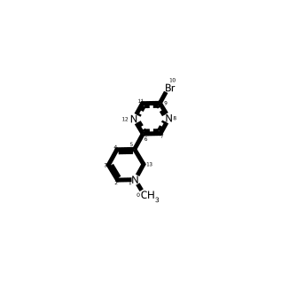 CN1C=CC=C(c2cnc(Br)cn2)C1